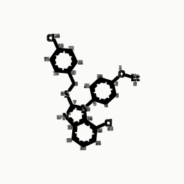 CCOc1ccc(-n2c(SCc3ccc(Cl)cc3)nc3cccc(Cl)c32)cc1